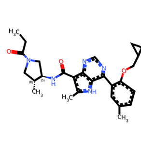 CCC(=O)N1C[C@@H](C)[C@H](NC(=O)c2c(C)[nH]c3c(-c4cc(C)ccc4OCC4CC4)ncnc23)C1